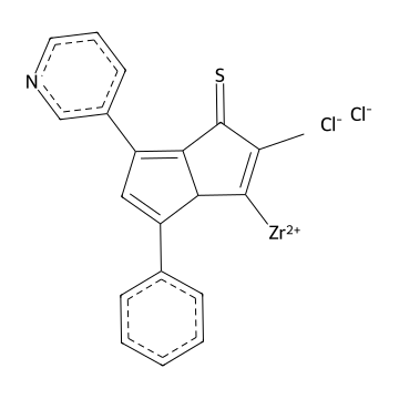 CC1=[C]([Zr+2])C2C(c3ccccc3)=CC(c3cccnc3)=C2C1=S.[Cl-].[Cl-]